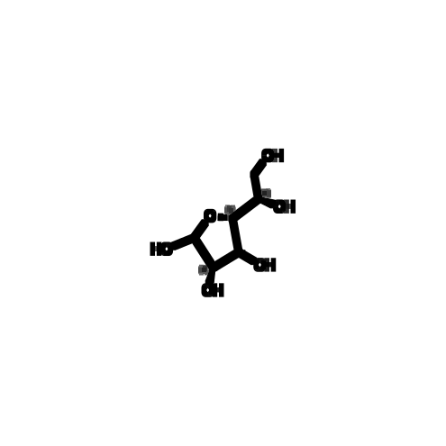 OC[C@@H](O)[C@H]1OC(O)[C@H](O)[C]1O